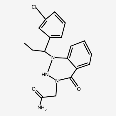 CCC(c1cccc(Cl)c1)N1NN(CC(N)=O)C(=O)c2ccccc21